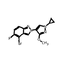 COc1nn(C2CC2)cc1-n1cc2c(Br)c(F)ccc2n1